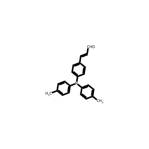 Cc1ccc(N(c2ccc(C)cc2)c2ccc(/C=C/C=O)cc2)cc1